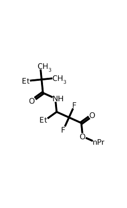 CCCOC(=O)C(F)(F)C(CC)NC(=O)C(C)(C)CC